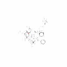 O=C(NC1CCC(c2nnco2)CC1)[C@H]1[C@H](c2ccnc(Cl)c2F)[C@@]2(C(=O)Nc3cc(Cl)ccc32)C2(CC(CF)(CF)C2)N1[C@H](c1ccccc1)[C@@H](O)c1ccccc1